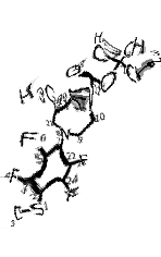 CSc1c(F)c(F)c(N2CCN(C(=O)OC(C)(C)C)[C@@H](C)C2)c(F)c1F